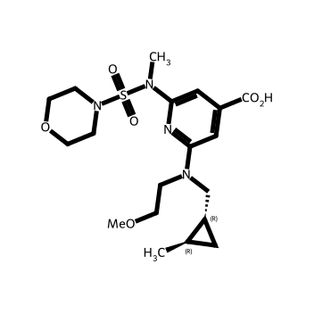 COCCN(C[C@@H]1C[C@H]1C)c1cc(C(=O)O)cc(N(C)S(=O)(=O)N2CCOCC2)n1